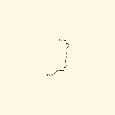 CC/C=C\CCC/C=C\CCCCCC